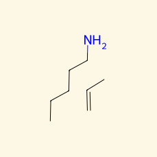 C=CC.CCCCCN